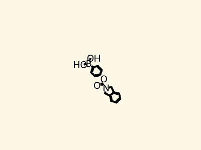 O=C(Oc1ccc(B(O)O)cc1)N1Cc2ccccc2C1